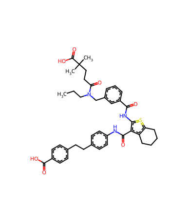 CCCN(Cc1cccc(C(=O)Nc2sc3c(c2C(=O)Nc2ccc(CCc4ccc(C(=O)O)cc4)cc2)CCCC3)c1)C(=O)CCC(C)(C)C(=O)O